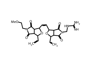 C=CC1OC(/C=C\C2OC(C=C)C3C(=O)N(CNC(=N)N)C(=O)C23)C2C(=O)N(CCOC)C(=O)C12